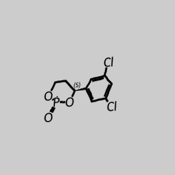 O=[P]1OCC[C@@H](c2cc(Cl)cc(Cl)c2)O1